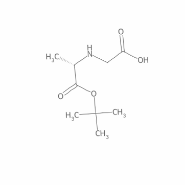 C[C@H](NCC(=O)O)C(=O)OC(C)(C)C